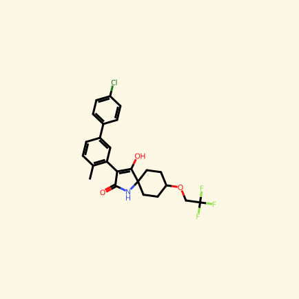 Cc1ccc(-c2ccc(Cl)cc2)cc1C1=C(O)C2(CCC(OCC(F)(F)F)CC2)NC1=O